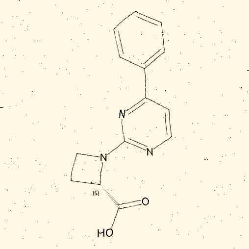 O=C(O)[C@@H]1CCN1c1nccc(-c2ccccc2)n1